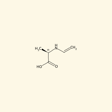 C=CN[C@H](C)C(=O)O